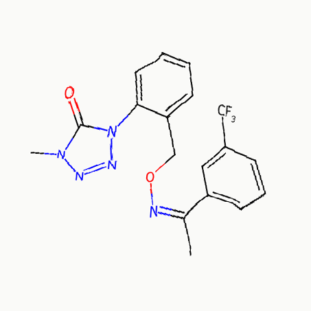 C/C(=N/OCc1ccccc1-n1nnn(C)c1=O)c1cccc(C(F)(F)F)c1